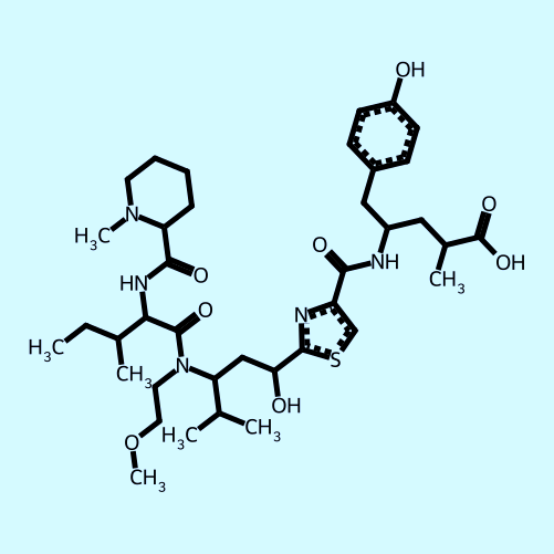 CCC(C)C(NC(=O)C1CCCCN1C)C(=O)N(CCOC)C(CC(O)c1nc(C(=O)NC(Cc2ccc(O)cc2)CC(C)C(=O)O)cs1)C(C)C